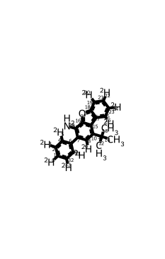 [2H]c1c([2H])c([2H])c(-c2c([2H])c(C(C)(C)C)c3c(oc4c([2H])c([2H])c([2H])c([2H])c43)c2N)c([2H])c1[2H]